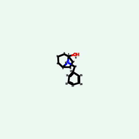 OC12CCCC(CC1)N2Cc1ccccc1